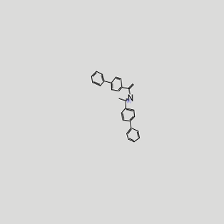 C=C(/N=C(\C)c1ccc(-c2ccccc2)cc1)c1ccc(-c2ccccc2)cc1